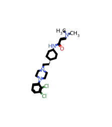 CN(C)C=CC(=O)N[C@H]1CC[C@H](CCN2CCN(c3cccc(Cl)c3Cl)CC2)CC1